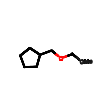 CO[CH]OCC1CCCC1